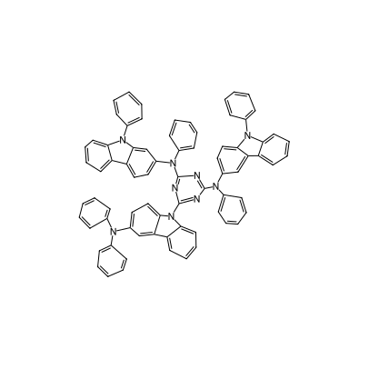 c1ccc(N(c2ccccc2)c2ccc3c(c2)c2ccccc2n3-c2nc(N(c3ccccc3)c3ccc4c(c3)c3ccccc3n4-c3ccccc3)nc(N(c3ccccc3)c3ccc4c5ccccc5n(-c5ccccc5)c4c3)n2)cc1